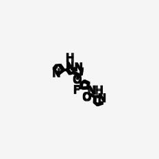 O=C(Nc1ccc(Oc2ccnc3[nH]c(-c4cccnc4)cc23)c(F)c1)c1cccnc1